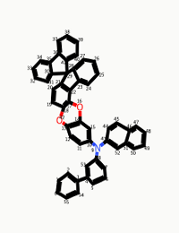 c1ccc(-c2cccc(N(c3ccc4c(c3)Oc3c(ccc5c3-c3ccccc3C53c5ccccc5-c5ccccc53)O4)c3ccc4ccccc4c3)c2)cc1